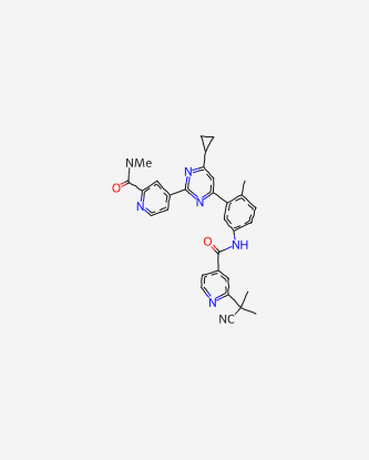 CNC(=O)c1cc(-c2nc(-c3cc(NC(=O)c4ccnc(C(C)(C)C#N)c4)ccc3C)cc(C3CC3)n2)ccn1